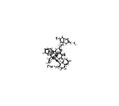 C=C1CN2C[C@H](F)CC2(COc2nc3c4c(nc(-c5cccc6ccc(F)c(C#C[Si](C(C)C)(C(C)C)C(C)C)c56)c(F)c4n2)OC(COCOC)C2C4CCC(CN32)N4C(=O)O)C1